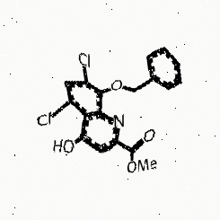 COC(=O)c1cc(O)c2c(Cl)cc(Cl)c(OCc3ccccc3)c2n1